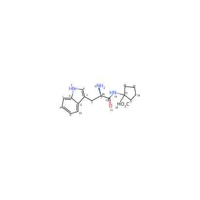 N[C@H](Cc1c[nH]c2ccccc12)C(=O)NC1(C(=O)O)CCCC1